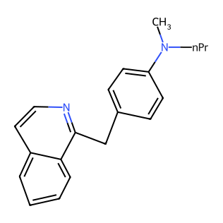 CCCN(C)c1ccc(Cc2nccc3ccccc23)cc1